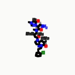 CC[C@H](C)[C@@H]([C@@H](CC(=O)N1CCCC1[C@H](OC)[C@@H](C)C(=O)NCCc1ccccc1Cl)OC)N(C)C(=O)[C@@H](NC(=O)C(C(C)C)N(C)C)[C@H](C)N